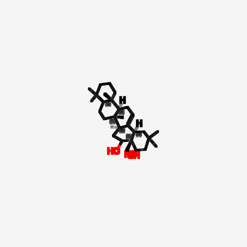 CC1(C)CC(O)[C@]2(CO)C(O)C[C@]3(C)C(=CC[C@@H]4[C@@]5(C)CCCC(C)(C)C5CC[C@]43C)[C@H]2C1